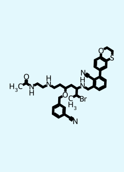 CC(=O)NCCNCCC(CC(NCc1cccc(-c2ccc3c(c2)SCCO3)c1C#N)C(C)Br)OCc1cccc(C#N)c1